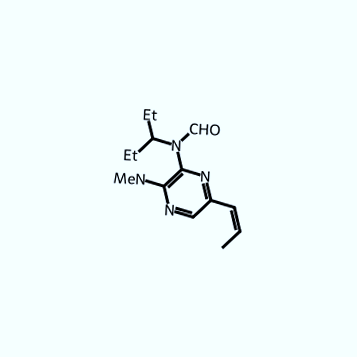 C/C=C\c1cnc(NC)c(N(C=O)C(CC)CC)n1